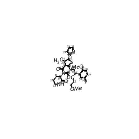 COCCO[C@@H](Cn1c(=O)n([C@H]2CCCNC2=O)c(=O)c2c(C)c(-n3cccn3)sc21)c1cc(F)ccc1OC